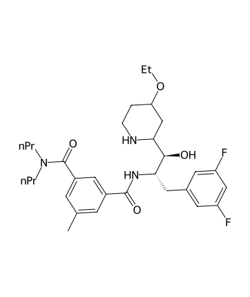 CCCN(CCC)C(=O)c1cc(C)cc(C(=O)N[C@@H](Cc2cc(F)cc(F)c2)[C@H](O)C2CC(OCC)CCN2)c1